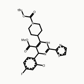 COC(=O)C1=C(C2CCN(C(=O)OC(C)(C)C)CC2)NC(c2nccs2)=NC1c1ccc(F)cc1Cl